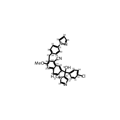 COc1nc2ccc(C(O)(c3ccc(Cl)cc3)c3cncn3C)cc2c(C#N)c1Cc1ccc(-n2cccn2)cc1